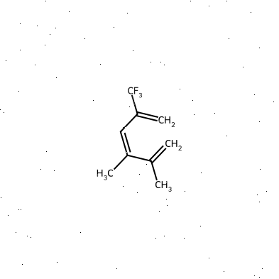 C=C(C)/C(C)=C\C(=C)C(F)(F)F